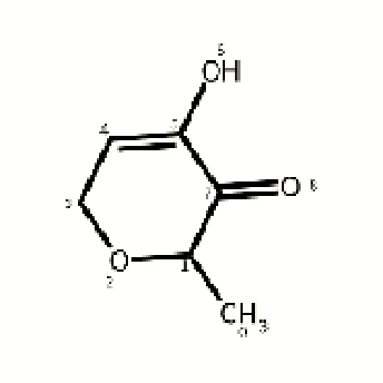 CC1OCC=C(O)C1=O